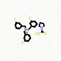 Fc1cccc([CH2][SnH]([CH2]c2cccc(F)c2)[CH2]c2cccc(F)c2)c1.S=C(S)N1CCCC1